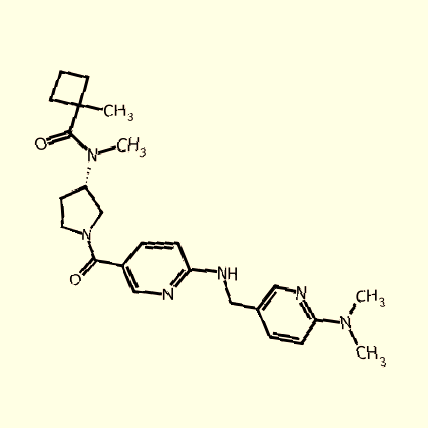 CN(C)c1ccc(CNc2ccc(C(=O)N3CC[C@H](N(C)C(=O)C4(C)CCC4)C3)cn2)cn1